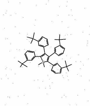 CC(C)(C)c1cccc(C2=C(c3cccc(C(C)(C)C)c3)[Si](C)(C)C(c3cccc(C(C)(C)C)c3)=C2c2cccc(C(C)(C)C)c2)c1